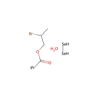 CC(Br)COC(=O)C(C)C.O.[SeH][SeH]